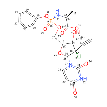 C#C[C@@]1(Cl)C(O)[C@@H](CO[P@@](=O)(N[C@@H](C)C(=O)OC(C)C)Oc2ccccc2)O[C@H]1n1ccc(=O)[nH]c1=O